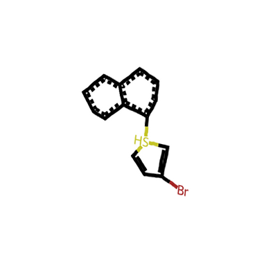 BrC1=C[SH](c2cccc3ccccc23)C=C1